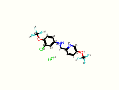 Cl.FC(F)(F)Oc1ccc(CNc2ccc(OC(F)(F)F)c(Cl)c2)nc1